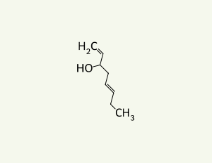 C=CC(O)CC=CCC